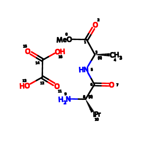 COC(=O)[C@H](C)NC(=O)[C@@H](N)C(C)C.O=C(O)C(=O)O